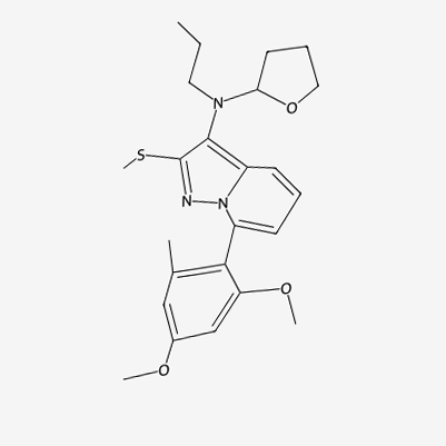 CCCN(c1c(SC)nn2c(-c3c(C)cc(OC)cc3OC)cccc12)C1CCCO1